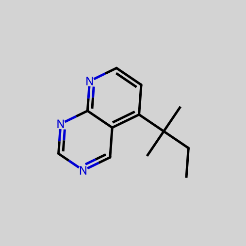 CCC(C)(C)c1ccnc2ncncc12